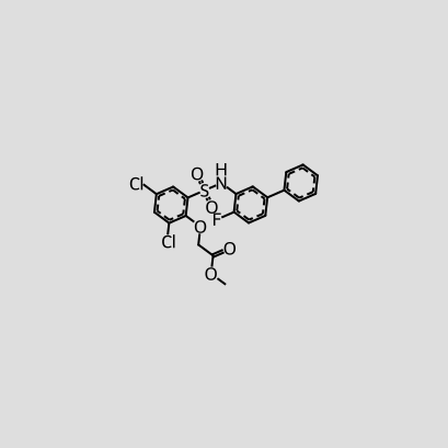 COC(=O)COc1c(Cl)cc(Cl)cc1S(=O)(=O)Nc1cc(-c2ccccc2)ccc1F